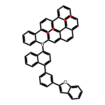 c1ccc(-c2ccc(-c3ccccc3N(c3ccc4c(ccc5ccccc54)c3)c3ccc(-c4cccc(-c5cc6ccccc6o5)c4)c4ccccc34)cc2)cc1